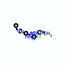 CCN1CCC(Nc2c(Cl)cnc3[nH]c(-c4ccc(N5CCN(Cc6ccccc6)CC5)cc4)nc23)CC1